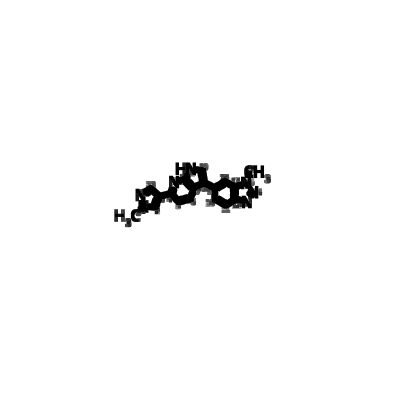 Cn1cc(-c2ccc3c(-c4ccc5nnn(C)c5c4)c[nH]c3n2)cn1